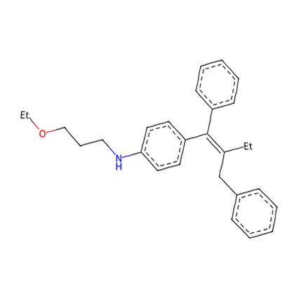 CCOCCCNc1ccc(/C(=C(/CC)Cc2ccccc2)c2ccccc2)cc1